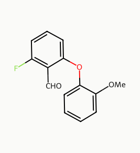 COc1ccccc1Oc1cccc(F)c1C=O